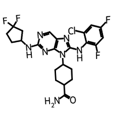 NC(=O)C1CCC(n2c(Nc3c(F)cc(F)cc3Cl)nc3cnc(NC4CCC(F)(F)C4)nc32)CC1